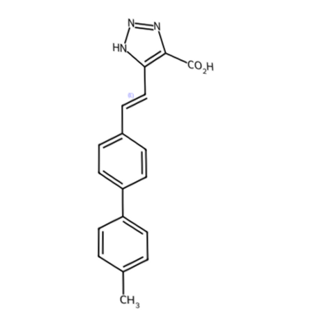 Cc1ccc(-c2ccc(/C=C/c3[nH]nnc3C(=O)O)cc2)cc1